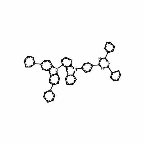 c1ccc(-c2ccc3c(c2)c2cc(-c4ccccc4)ccc2n3-c2cccc3c2c2ccccc2n3-c2ccc(-c3nc(-c4ccccc4)nc(-c4ccccc4)n3)cc2)cc1